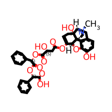 CN1CC[C@]23c4c5ccc(O)c4O[C@H]2C(OC(=O)C[C@H](O)C(=O)O[C@H](C(=O)O[C@H](C(=O)O)c2ccccc2)c2ccccc2)=CC[C@@]3(O)[C@H]1C5